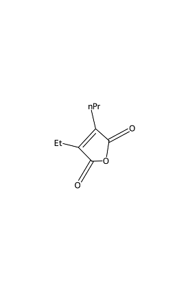 CCCC1=C(CC)C(=O)OC1=O